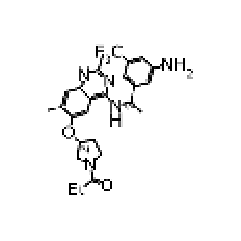 CCC(=O)N1CC[C@H](Oc2cc3c(N[C@H](C)c4cc(N)cc(C(F)(F)F)c4)nc(C)nc3cc2C)C1